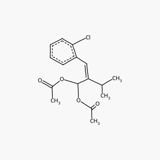 CC(=O)OC(OC(C)=O)C(=Cc1ccccc1Cl)C(C)C